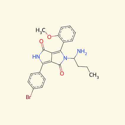 CCCC(N)N1C(=O)C2=C(c3ccc(Br)cc3)NC(=O)C2=C1c1ccccc1OC